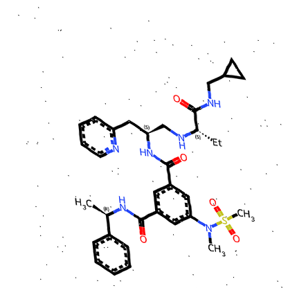 CC[C@H](NC[C@H](Cc1ccccn1)NC(=O)c1cc(C(=O)N[C@H](C)c2ccccc2)cc(N(C)S(C)(=O)=O)c1)C(=O)NCC1CC1